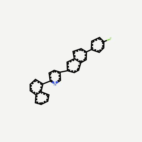 Fc1ccc(-c2ccc3cc(-c4ccc(-c5cccc6ccccc56)nc4)ccc3c2)cc1